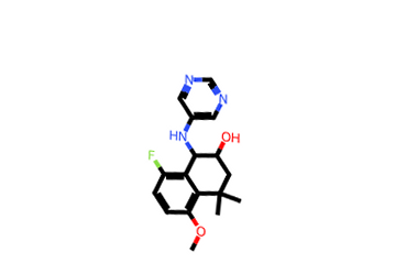 COc1ccc(F)c2c1C(C)(C)CC(O)C2Nc1cncnc1